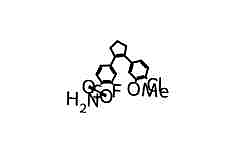 COc1cc(C2=C(c3ccc(S(N)(=O)=O)c(F)c3)CCC2)ccc1Cl